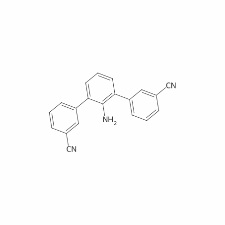 N#Cc1cccc(-c2cccc(-c3cccc(C#N)c3)c2N)c1